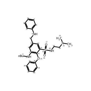 CCCCNc1cc(CNc2ccccc2)cc(S(=O)(=O)NCCN(C)C)c1Oc1ccccc1